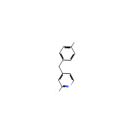 N#Cc1cc(Cc2ccc(N=O)cc2)ccn1